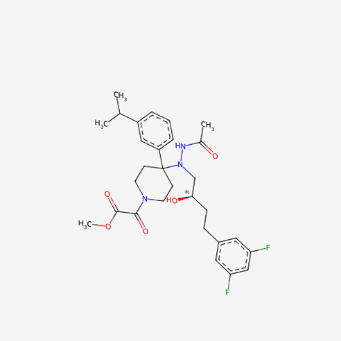 COC(=O)C(=O)N1CCC(c2cccc(C(C)C)c2)(N(C[C@H](O)CCc2cc(F)cc(F)c2)NC(C)=O)CC1